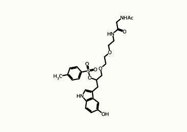 CC(=O)NCC(=O)NCCOCCOCC(Cc1c[nH]c2ccc(O)cc12)OS(=O)(=O)c1ccc(C)cc1